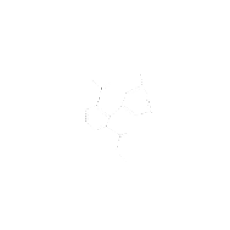 COC(=O)c1cccc(C(=O)O)c1-c1cncc(C)c1